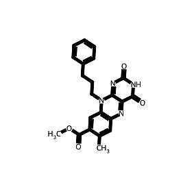 COC(=O)c1cc2c(cc1C)nc1c(=O)[nH]c(=O)nc-1n2CCCc1ccccc1